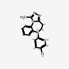 Cc1nnc2n1-c1ccccc1N(c1ccc(Cl)cn1)CC2